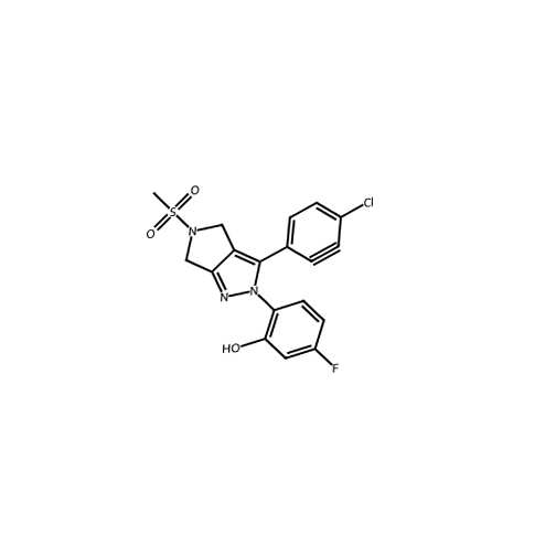 CS(=O)(=O)N1Cc2nn(-c3ccc(F)cc3O)c(-c3c#cc(Cl)cc3)c2C1